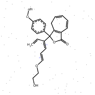 C=C/C(=C\C=C\OCCO)C1(c2ccc(OCCC)cc2)OC(=O)C2=C1CC=CC=C2